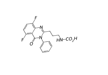 O=C(O)NCCCc1nc2c(F)ccc(F)c2c(=O)n1-c1ccccc1